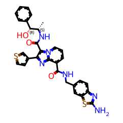 C[C@H](NC(=O)c1c(-c2ccsc2)nc2c(C(=O)NCc3ccc4nc(N)sc4c3)cccn12)[C@H](O)c1ccccc1